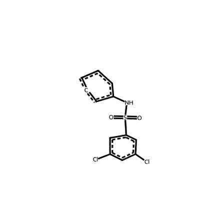 O=S(=O)(Nc1ccccc1)c1cc(Cl)cc(Cl)c1